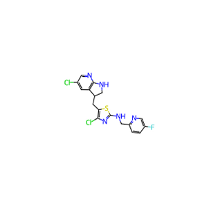 Fc1ccc(CNc2nc(Cl)c(CC3CNc4ncc(Cl)cc43)s2)nc1